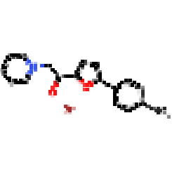 O=C(C[n+]1ccccc1)c1ccc(-c2ccc([N+](=O)[O-])cc2)o1.[Br-]